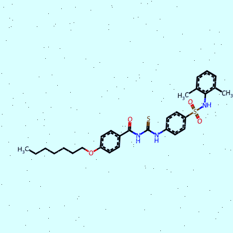 CCCCCCCOc1ccc(C(=O)NC(=S)Nc2ccc(S(=O)(=O)Nc3c(C)cccc3C)cc2)cc1